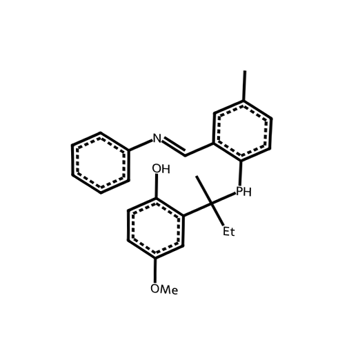 CCC(C)(Pc1ccc(C)cc1/C=N/c1ccccc1)c1cc(OC)ccc1O